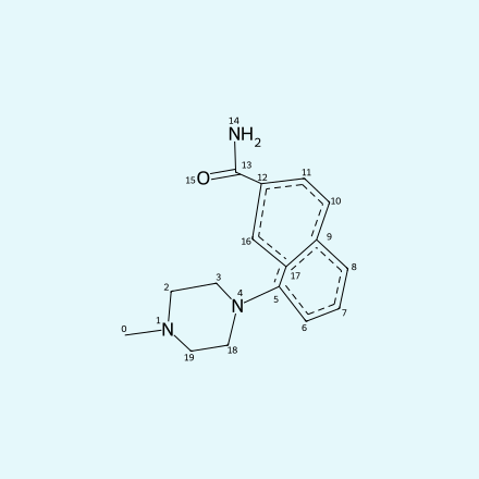 CN1CCN(c2cccc3ccc(C(N)=O)cc23)CC1